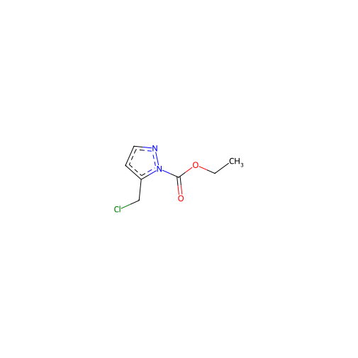 CCOC(=O)n1nccc1CCl